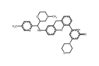 Cc1ccc(C(Nc2ccc3c(c2)Cc2cccc(-c4cc(N5CCOCC5)cc(=O)[nH]4)c2O3)C2CN(C)CCO2)nc1